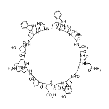 CCCC[C@H]1C(=O)N(C)[C@@H](CCCC)C(=O)N[C@@H](C)C(=O)N[C@H](C(=O)NCC(N)=O)CSCC(=O)N[C@@H](Cc2ccc(O)cc2)C(=O)N(C)[C@@H](C)C(=O)N[C@@H](CCC(=O)O)C(=O)N2CCC[C@H]2C(=O)N[C@@H](Cc2cnc[nH]2)C(=O)N[C@@H](CCCN)C(=O)N2C[C@H](O)C[C@H]2C(=O)N[C@@H](Cc2c[nH]c3ccccc23)C(=O)N[C@@H](CO)C(=O)N[C@@H](Cc2c[nH]c3ccccc23)C(=O)N1C